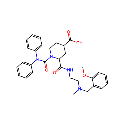 COc1ccccc1CN(C)CCNC(=O)C1CC(C(=O)O)CCN1C(=O)N(c1ccccc1)c1ccccc1